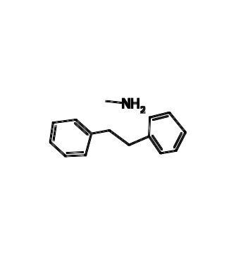 CN.c1ccc(CCc2ccccc2)cc1